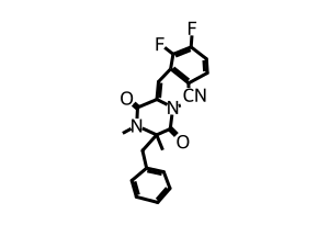 CN1C(=O)C(C)(Cc2ccccc2)N(C)C(=O)/C1=C/c1c(C#N)ccc(F)c1F